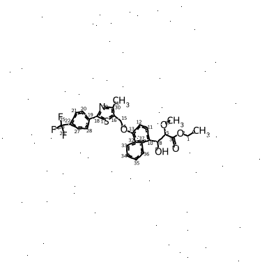 CCOC(=O)C(OC)C(O)c1ccc(OCc2sc(-c3ccc(C(F)(F)F)cc3)nc2C)c2ccccc12